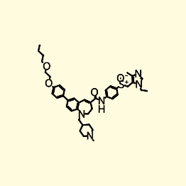 CCCCOCCOc1ccc(-c2ccc3c(c2)C=C(C(=O)Nc2ccc([S@+]([O-])Cc4c(C)ncn4CC)cc2)CCN3CC2CCN(C)CC2)cc1